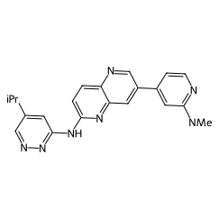 CNc1cc(-c2cnc3ccc(Nc4cc(C(C)C)cnn4)nc3c2)ccn1